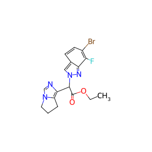 CCOC(=O)C(c1ncn2c1CCC2)n1cc2ccc(Br)c(F)c2n1